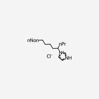 CCCCCCCCCCCCCC(CCC)[n+]1cc[nH]c1.[Cl-]